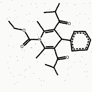 CCOC(=O)N1C(C)=C(C(=O)C(C)C)C(c2ccccc2)C(C(=O)C(C)C)=C1C